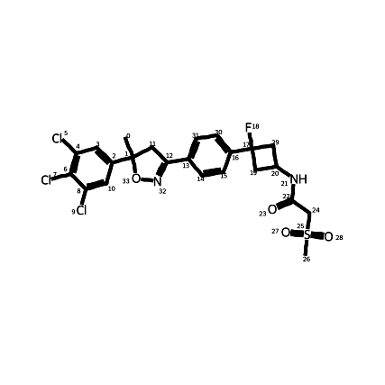 CC1(c2cc(Cl)c(Cl)c(Cl)c2)CC(c2ccc(C3(F)CC(NC(=O)CS(C)(=O)=O)C3)cc2)=NO1